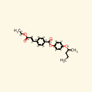 CCCC(C)Oc1ccc(OC(=O)c2ccc(/C=C/C(=O)OCC)cc2)cc1